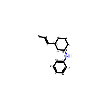 CC=C[C@H]1CCC[C@@H](Nc2ccccc2)C1